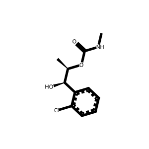 CNC(=O)O[C@H](C)[C@H](O)c1ccccc1Cl